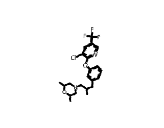 CC(Cc1cccc(Oc2ncc(C(F)(F)F)cc2Cl)c1)CN1CC(C)OC(C)C1